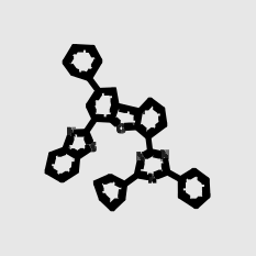 c1ccc(-c2cc(-c3nc4ccccc4s3)c3oc4c(-c5nc(-c6ccccc6)nc(-c6ccccc6)n5)cccc4c3c2)cc1